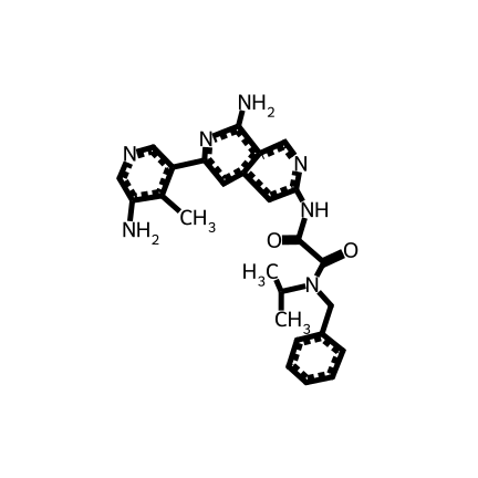 Cc1c(N)cncc1-c1cc2cc(NC(=O)C(=O)N(Cc3ccccc3)C(C)C)ncc2c(N)n1